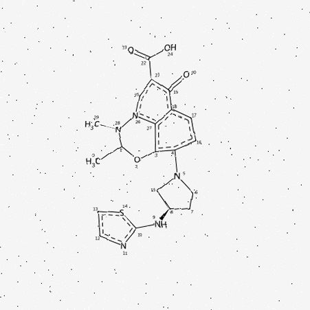 CC1Oc2c(N3CC[C@@H](Nc4nccs4)C3)ccc3c(=O)c(C(=O)O)cn(c23)N1C